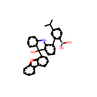 CC(C)c1ccc(B(O)O)c(-c2cccc3c2Nc2ccccc2C3(O)c2cccc3c2oc2ccccc23)c1